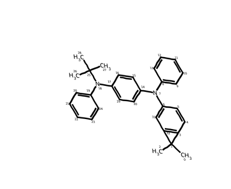 CC1(C)c2ccc(N(c3ccccc3)c3ccc(N(c4ccccc4)C(C)(C)C)cc3)cc21